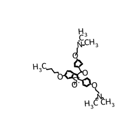 CCCCCOc1ccc2c(C(=O)c3ccc(OCCN(CC)CC)cc3)c(-c3ccc(OCCN(CC)CC)cc3)[s+]([O-])c2c1